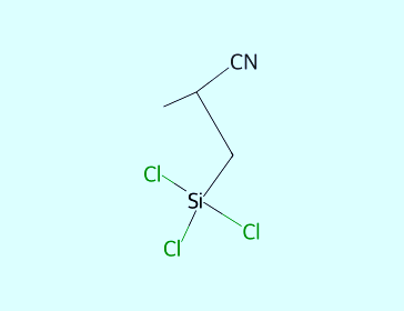 CC(C#N)C[Si](Cl)(Cl)Cl